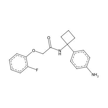 Nc1ccc(C2(NC(=O)COc3ccccc3F)CCC2)cc1